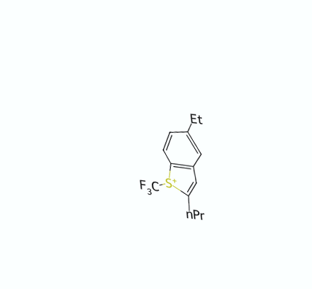 CCCc1cc2cc(CC)ccc2[s+]1C(F)(F)F